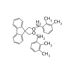 Cc1cccc([SiH2]OCC2(CO[SiH2]c3cccc(C)c3C)c3ccccc3-c3ccccc32)c1C